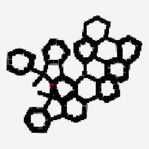 CC1(C)c2ccccc2-c2ccc(-c3ccccc3N(c3ccccc3-c3cccc4cccc(C5CCCCC5)c34)c3cccc4c3-c3ccccc3C4(C)c3ccccc3)cc21